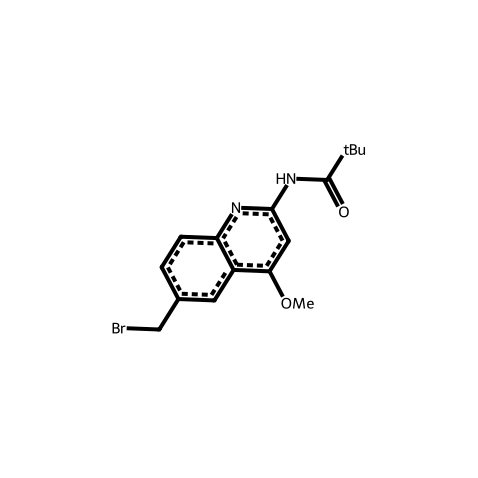 COc1cc(NC(=O)C(C)(C)C)nc2ccc(CBr)cc12